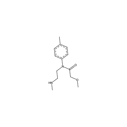 CNCCN(C(=O)COC)c1ccc(C)cc1